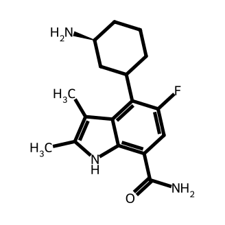 Cc1[nH]c2c(C(N)=O)cc(F)c(C3CCC[C@H](N)C3)c2c1C